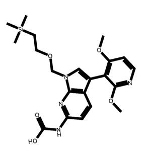 COc1ccnc(OC)c1-c1cn(COCC[Si](C)(C)C)c2nc(NC(=O)O)ccc12